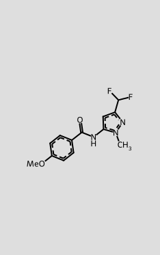 COc1ccc(C(=O)Nc2cc(C(F)F)nn2C)cc1